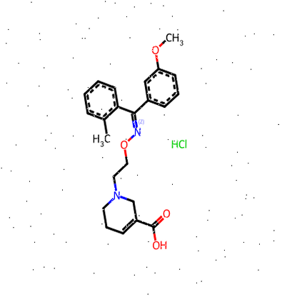 COc1cccc(/C(=N/OCCN2CCC=C(C(=O)O)C2)c2ccccc2C)c1.Cl